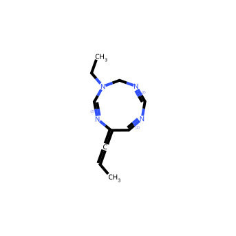 CC=C=C1/C=N\C=N/CN(CC)/C=N\1